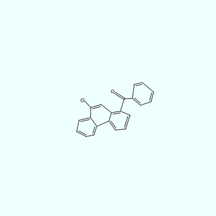 O=C(c1ccccc1)c1cccc2c1cc(Cl)c1ccccc12